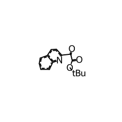 CC(C)(C)OC(=O)C(=O)c1ccc2ccccc2n1